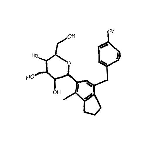 CCCc1ccc(Cc2cc(C3OC(CO)C(O)C(O)C3O)c(C)c3c2CCC3)cc1